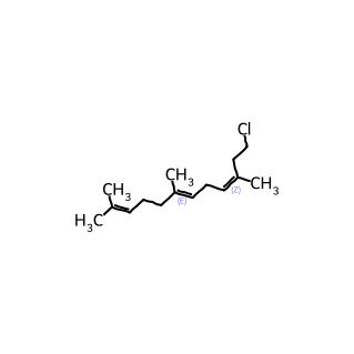 CC(C)=CCC/C(C)=C/C/C=C(/C)CCCl